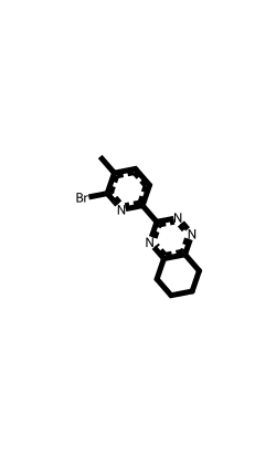 Cc1ccc(-c2nnc3c(n2)CCCC3)nc1Br